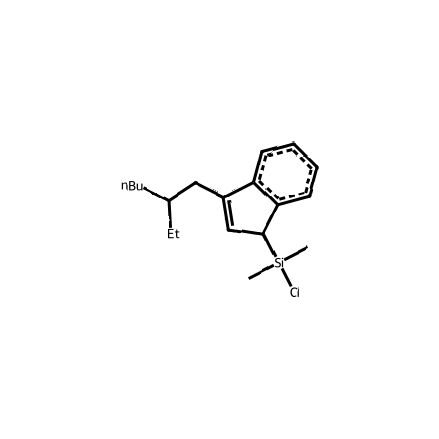 CCCCC(CC)CC1=CC([Si](C)(C)Cl)c2ccccc21